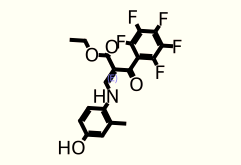 CCOC(=O)/C(=C/Nc1ccc(O)cc1C)C(=O)c1c(F)c(F)c(F)c(F)c1F